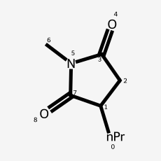 CCCC1CC(=O)N(C)C1=O